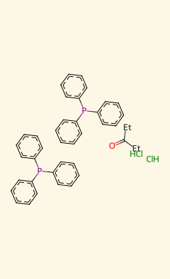 CCC(=O)CC.Cl.Cl.c1ccc(P(c2ccccc2)c2ccccc2)cc1.c1ccc(P(c2ccccc2)c2ccccc2)cc1